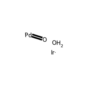 O.[Ir].[O]=[Pd]